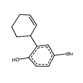 CC(C)(C)c1ccc(O)c(C2C=CCCC2)c1